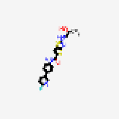 O=C(Nc1ccc(-c2ccc(F)nc2)cc1)c1cc2sc(NCC(O)C(F)(F)F)nc2s1